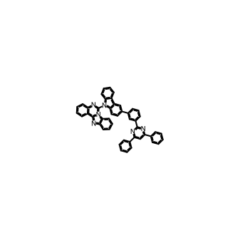 c1ccc(-c2cc(-c3ccccc3)nc(-c3cccc(-c4ccc5c(c4)c4ccccc4n5-c4nc5ccccc5c5nc6ccccc6n45)c3)n2)cc1